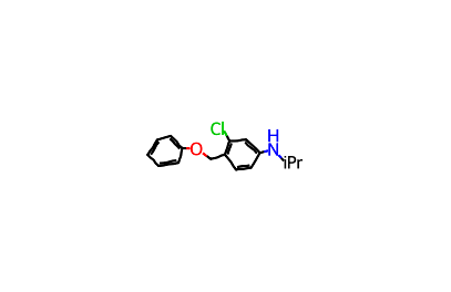 CC(C)Nc1ccc(COc2ccccc2)c(Cl)c1